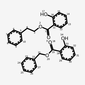 O=C(OCCc1ccccc1)c1ccccc1O.O=C(OCc1ccccc1)c1ccccc1O